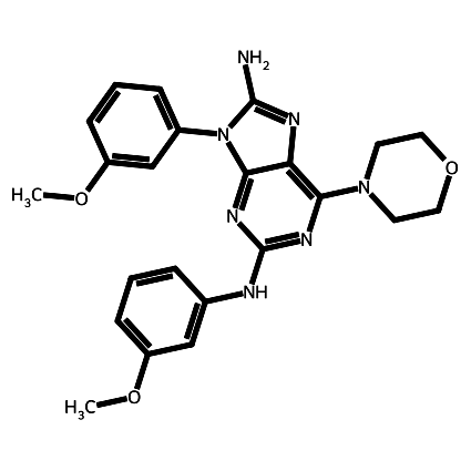 COc1cccc(Nc2nc(N3CCOCC3)c3nc(N)n(-c4cccc(OC)c4)c3n2)c1